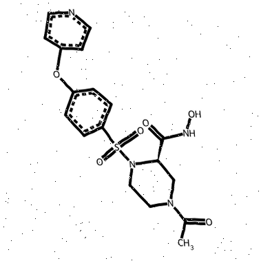 CC(=O)N1CCN(S(=O)(=O)c2ccc(Oc3ccncc3)cc2)[C@@H](C(=O)NO)C1